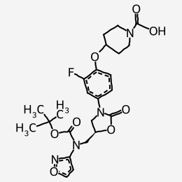 CC(C)(C)OC(=O)N(C[C@H]1CN(c2ccc(OC3CCN(C(=O)O)CC3)c(F)c2)C(=O)O1)c1ccon1